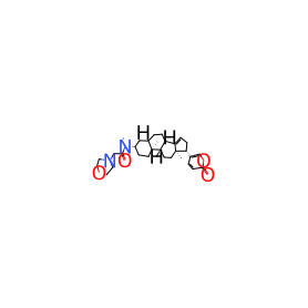 CN(C(=O)CN1CCOCC1)[C@H]1CC[C@@]2(C)[C@H](CC[C@H]3C4=CC[C@H](c5ccc(=O)oc5)[C@@]4(C)CC[C@@H]32)C1